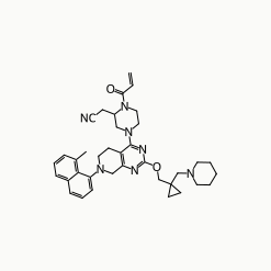 C=CC(=O)N1CCN(c2nc(OCC3(CN4CCCCC4)CC3)nc3c2CCN(c2cccc4cccc(C)c24)C3)CC1CC#N